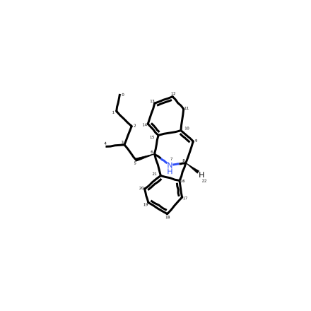 CCCC(C)C[C@]12N[C@H](C=C3CC=CC=C31)c1ccccc12